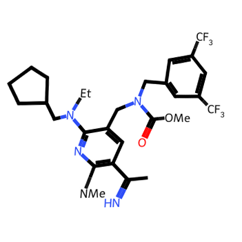 CCN(CC1CCCC1)c1nc(NC)c(C(C)=N)cc1CN(Cc1cc(C(F)(F)F)cc(C(F)(F)F)c1)C(=O)OC